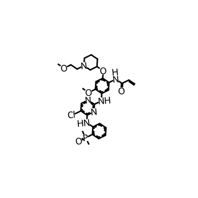 C=CC(=O)Nc1cc(Nc2ncc(Cl)c(Nc3ccccc3P(C)(C)=O)n2)c(OC)cc1OC1CCCN(CCOC)C1